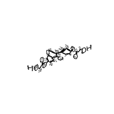 O=C(CO)Oc1ccc(-c2coc3cc(OC(=O)CO)ccc3c2=O)cc1